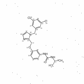 CC(C)NC(=O)Nc1cccc(OCc2nccn2Cc2cc(Cl)cc(Cl)c2)c1